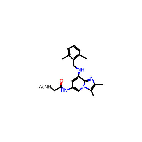 CC(=O)NCC(=O)Nc1cc(NCc2c(C)cccc2C)c2nc(C)c(C)n2c1